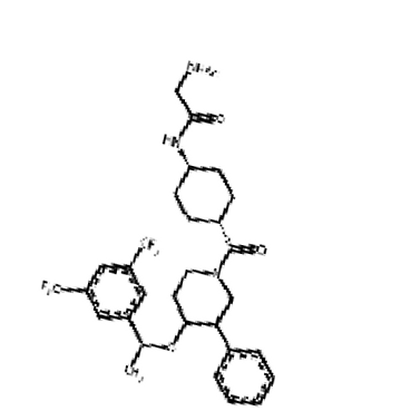 CC(=O)NCC(=O)N[C@H]1CC[C@H](C(=O)N2CCC(OC(C)c3cc(C(F)(F)F)cc(C(F)(F)F)c3)C(c3ccccc3)C2)CC1